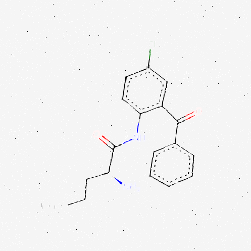 N[C@@H](CCC(=O)O)C(=O)Nc1ccc(Cl)cc1C(=O)c1ccccc1